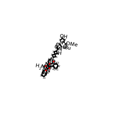 COC(=O)[C@@H]1C[C@@H](O)CN1C(=O)[C@@H](NC(=O)C1CC2(C1)CC(N1CCC(c3cnc(N4C5CCC4CN(c4cc(-c6ccccc6O)nnc4N)C5)nc3)CC1)C2)C(C)(C)C